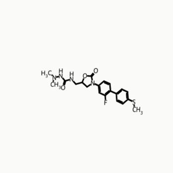 CSc1ccc(-c2ccc(N3CC(CNC(=O)NN(C)C)OC3=O)cc2F)cc1